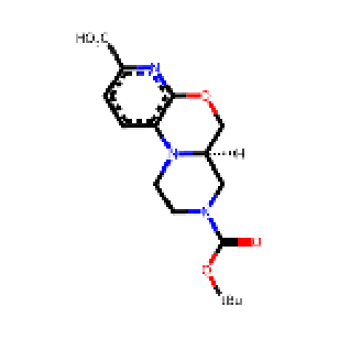 CC(C)(C)OC(=O)N1CCN2c3ccc(C(=O)O)nc3OC[C@H]2C1